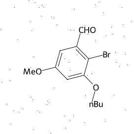 CCCCOc1cc(OC)cc(C=O)c1Br